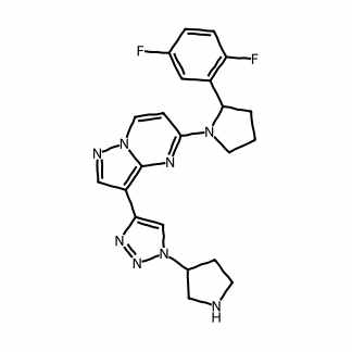 Fc1ccc(F)c(C2CCCN2c2ccn3ncc(-c4cn(C5CCNC5)nn4)c3n2)c1